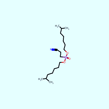 CC(C)CCCCCOP(=O)(CCC#N)OCCCCCC(C)C